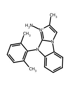 Cc1cccc(C)c1-n1c2ccccc2n2cc(C)[n+](N)c12